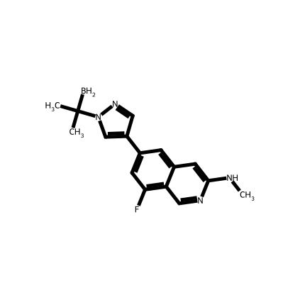 BC(C)(C)n1cc(-c2cc(F)c3cnc(NC)cc3c2)cn1